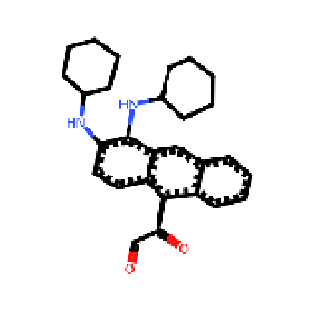 O=CC(=O)c1c2ccccc2cc2c(NC3CCCCC3)c(NC3CCCCC3)ccc12